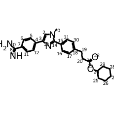 Cn1cc(-c2ccc(C(=N)N)cc2)nc1-c1ccc(CCC(=O)OC2CCCCC2)cc1